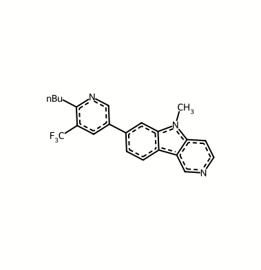 CCCCc1ncc(-c2ccc3c4cnccc4n(C)c3c2)cc1C(F)(F)F